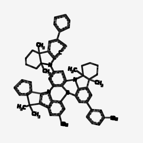 CC(C)(C)c1cccc(-c2cc3c4c(c2)C2(C)CCCCC2(C)N4c2cc(N4c5ccc(-c6ccccc6)cc5C5(C)CCCCC45C)cc4c2B3c2cc(C(C)(C)C)cc3c5c(n-4c23)-c2ccccc2C5(C)C)c1